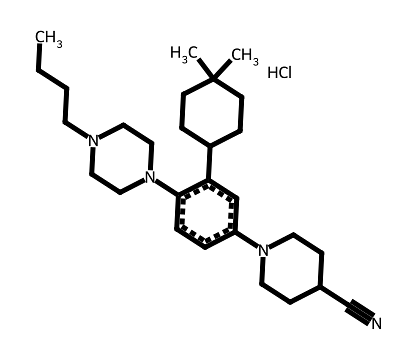 CCCCN1CCN(c2ccc(N3CCC(C#N)CC3)cc2C2CCC(C)(C)CC2)CC1.Cl